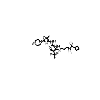 Cc1oc(N2CCN(C)CC2)nc1Nc1ncc(C(F)(F)F)c(NCCCNC(=O)C2CCC2)n1